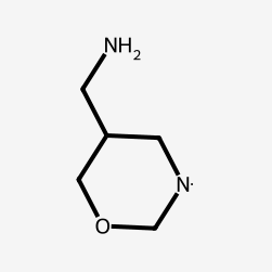 NCC1C[N]COC1